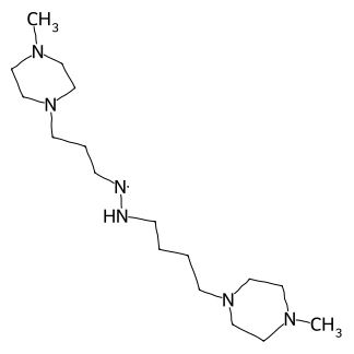 CN1CCN(CCCCN[N]CCCN2CCN(C)CC2)CC1